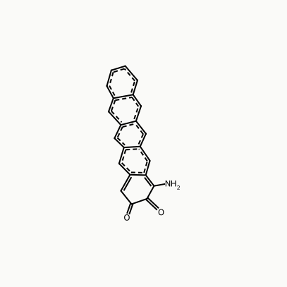 NC1=c2cc3cc4cc5ccccc5cc4cc3cc2=CC(=O)C1=O